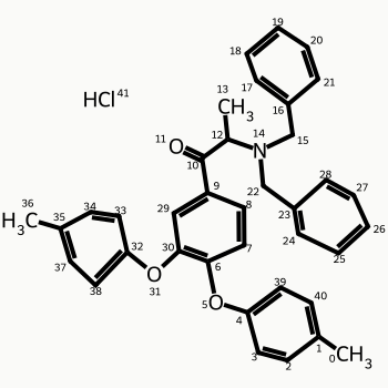 Cc1ccc(Oc2ccc(C(=O)C(C)N(Cc3ccccc3)Cc3ccccc3)cc2Oc2ccc(C)cc2)cc1.Cl